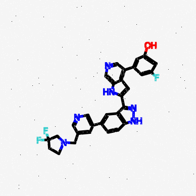 Oc1cc(F)cc(-c2cncc3[nH]c(-c4n[nH]c5ccc(-c6cncc(CN7CCC(F)(F)C7)c6)cc45)cc23)c1